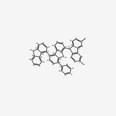 Cc1ccc2c(c1)c1cc(C)ccc1n2-c1cccc2c1sc1c(-c3ccccc3)ccc(-c3cccc4sc5ccccc5c34)c12